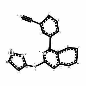 N#Cc1cccc(-c2nc(Nc3cc[nH]n3)cc3ccccc23)c1